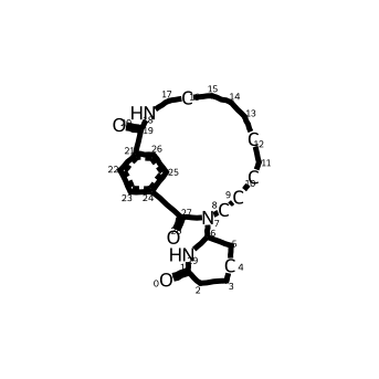 O=C1CCCCC(N2CCCCCCCCCCNC(=O)c3ccc(cc3)C2=O)N1